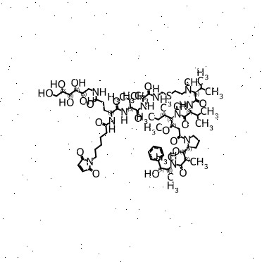 CC[C@H](C)[C@@H]([C@@H](CC(=O)N1CCC[C@H]1[C@H](OC)[C@@H](C)C(=O)N[C@H](C)[C@@H](O)c1ccccc1)OC)N(C)C(=O)[C@@H](NC(=O)[C@H](C(C)C)N(C)CCSCNC(=O)[C@H](C)NC(=O)[C@@H](NC(=O)[C@H](CCC(=O)NC[C@H](O)[C@@H](O)[C@H](O)[C@H](O)CO)NC(=O)CCCCCN1C(=O)C=CC1=O)C(C)C)C(C)C